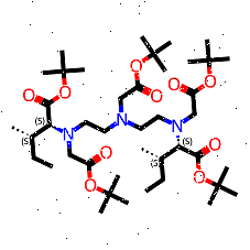 CC[C@H](C)[C@@H](C(=O)OC(C)(C)C)N(CCN(CCN(CC(=O)OC(C)(C)C)[C@H](C(=O)OC(C)(C)C)[C@@H](C)CC)CC(=O)OC(C)(C)C)CC(=O)OC(C)(C)C